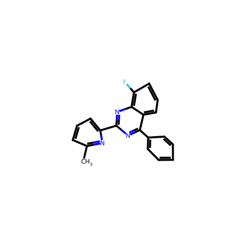 Cc1cccc(-c2nc(-c3ccccc3)c3cccc(F)c3n2)n1